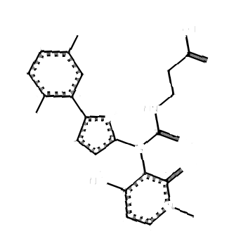 Cn1ccc(O)c(N(C(=O)NCCC(=O)O)c2ccc(-c3cc(F)ccc3F)s2)c1=O